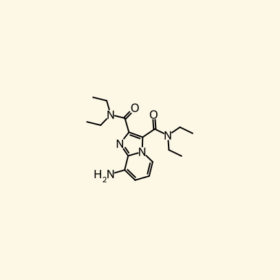 CCN(CC)C(=O)c1nc2c(N)cccn2c1C(=O)N(CC)CC